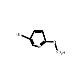 CC(C)(C)c1ccc(OC(=O)O)nc1